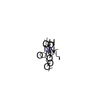 C=CCC[C@]1(CC)CC(=O)N(C2CCOCC2CCC(=O)OC(C)C)/C(=N/C(=O)OC(C)(C)C)N1